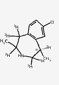 [2H]C1(C)NC([2H])([2H])[C@]([2H])(C)c2cc(Cl)ccc2C1([2H])[2H]